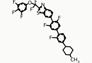 CC1CCC(c2ccc(-c3cc(F)c(-c4ccc5nc(C(F)(F)Oc6cc(F)c(F)c(F)c6)sc5c4)c(F)c3)c(F)c2)CC1